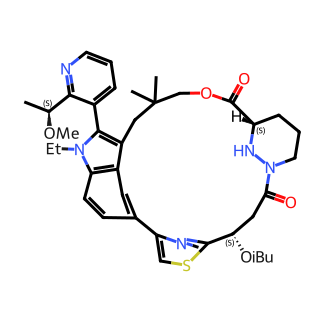 CCn1c(-c2cccnc2[C@H](C)OC)c2c3cc(ccc31)-c1csc(n1)[C@@H](OCC(C)C)CC(=O)N1CCC[C@H](N1)C(=O)OCC(C)(C)C2